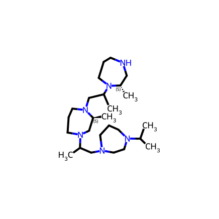 CC(C)N1CCCN(CC(C)N2CCCN(CC(C)N3CCCNC[C@@H]3C)[C@@H](C)C2)CC1